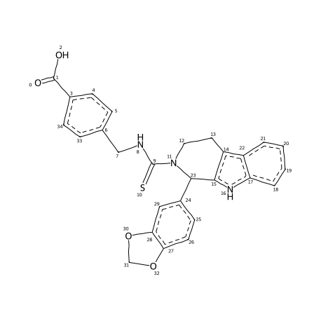 O=C(O)c1ccc(CNC(=S)N2CCc3c([nH]c4ccccc34)C2c2ccc3c(c2)OCO3)cc1